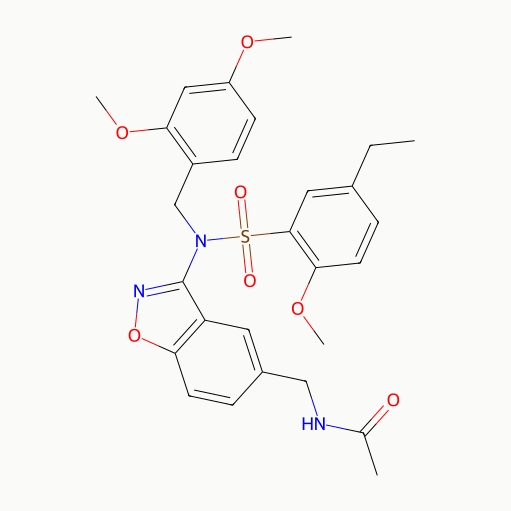 CCc1ccc(OC)c(S(=O)(=O)N(Cc2ccc(OC)cc2OC)c2noc3ccc(CNC(C)=O)cc23)c1